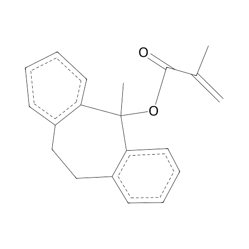 C=C(C)C(=O)OC1(C)c2ccccc2CCc2ccccc21